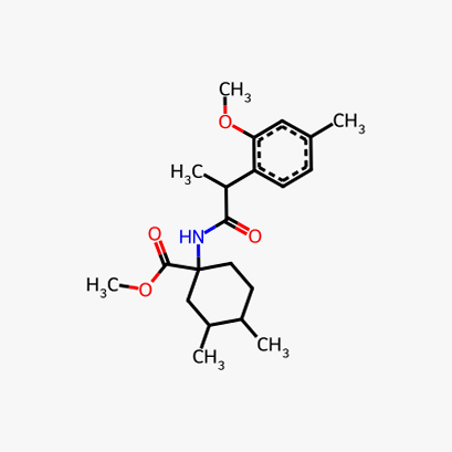 COC(=O)C1(NC(=O)C(C)c2ccc(C)cc2OC)CCC(C)C(C)C1